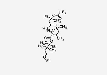 CCC(C)(CC(C)OC(C)(C)CC(C)OC(=O)OC(C)(CC)C(C)(C)CCOC(C)C)OC(=O)C(F)(F)F